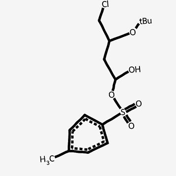 Cc1ccc(S(=O)(=O)OC(O)CC(CCl)OC(C)(C)C)cc1